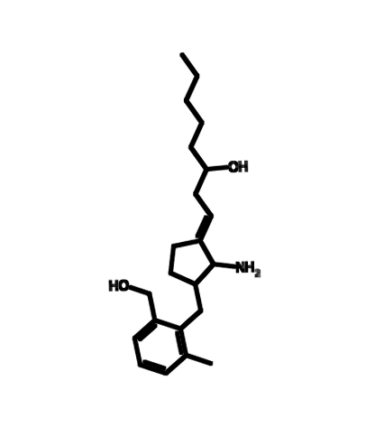 CCCCCC(O)C/C=C1\CCC(Cc2c(C)cccc2CO)C1N